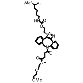 CNC(CCCCNC(=O)OCCn1nnc2c1-c1ccccc1CN(C(=O)CCC(=O)NCCOCCOC)c1ccccc1-2)C(C)=O